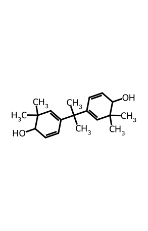 CC(C)(C1=CC(C)(C)C(O)C=C1)C1=CC(C)(C)C(O)C=C1